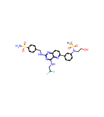 CS(=O)(=O)N(CCO)c1cccc(-c2ccc3nc(NCc4ccc(S(N)(=O)=O)cc4)nc(NCC(F)F)c3n2)c1